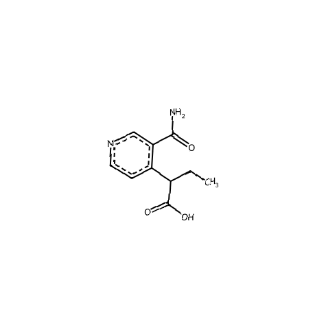 CCC(C(=O)O)c1ccncc1C(N)=O